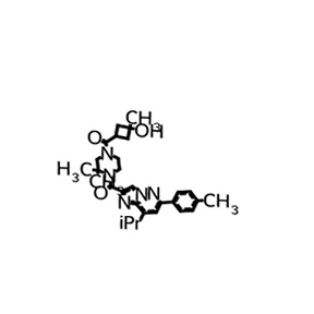 Cc1ccc(-c2cc(C(C)C)c3nc(C(=O)N4CCN(C(=O)C5CC(C)(O)C5)CC4(C)C)cn3n2)cc1